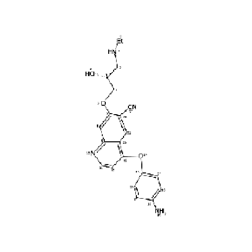 CCNC[C@@H](O)COc1cc2nccc(Oc3ccc(N)cc3)c2cc1C#N